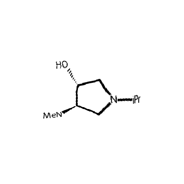 CN[C@@H]1CN(C(C)C)C[C@H]1O